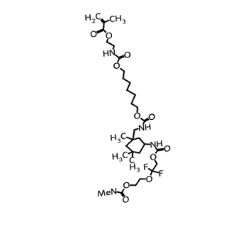 C=C(C)C(=O)OCCNC(=O)OCCCCCCCOC(=O)NCC1(C)CC(NC(=O)OCC(F)(F)OCCOC(=O)NC)CC(C)(C)C1